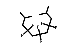 CC(C)CC(F)(F)CC(F)(F)CC(F)(F)CC(C)C